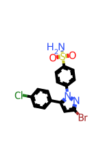 NS(=O)(=O)c1ccc(-n2nc(Br)cc2-c2ccc(Cl)cc2)cc1